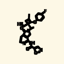 CC1=C(Oc2ccc(F)cc2)[C@@](C=N)(C(C)N2Cc3c(ccnc3NC(=O)c3cnco3)C2=O)C1